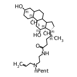 C=CCN(CCCCC)CCNC(=O)CC[C@@H](C)[C@H]1CCC2C3CCC4C[C@H](O)CC[C@]4(C)C3C[C@H](O)[C@@]21C